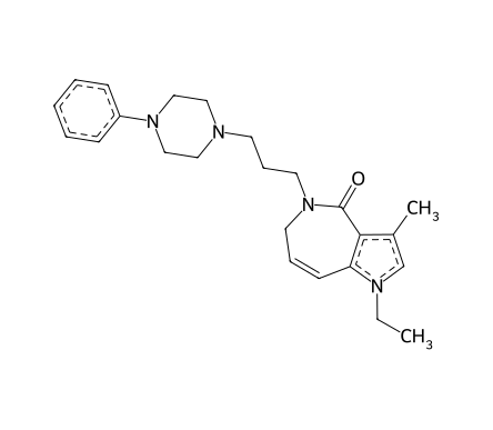 CCn1cc(C)c2c1C=CCN(CCCN1CCN(c3ccccc3)CC1)C2=O